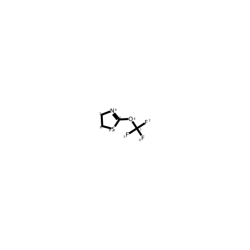 FC(F)(F)OC1=N[CH]CS1